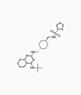 CC(C)(C)Nc1nc(NC[C@H]2CC[C@H](CNS(=O)(=O)c3cccs3)CC2)nc2ccccc12